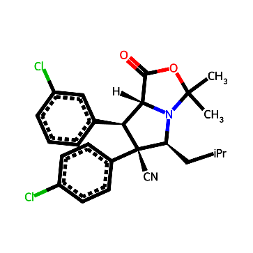 CC(C)C[C@@H]1N2[C@@H](C(=O)OC2(C)C)[C@H](c2cccc(Cl)c2)[C@@]1(C#N)c1ccc(Cl)cc1